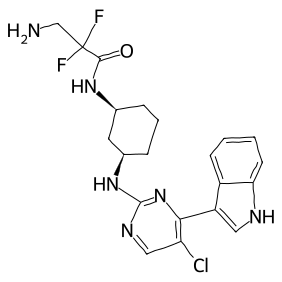 NCC(F)(F)C(=O)N[C@H]1CCC[C@@H](Nc2ncc(Cl)c(-c3c[nH]c4ccccc34)n2)C1